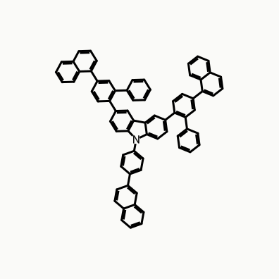 c1ccc(-c2cc(-c3cccc4ccccc34)ccc2-c2ccc3c(c2)c2cc(-c4ccc(-c5cccc6ccccc56)cc4-c4ccccc4)ccc2n3-c2ccc(-c3ccc4ccccc4c3)cc2)cc1